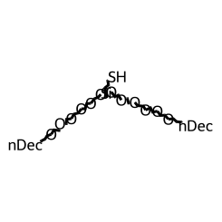 CCCCCCCCCCCCCOCCOCCOCCOCCOCCO[Si](C)(CCCS)OCCOCCOCCOCCOCCOCCCCCCCCCCCCC